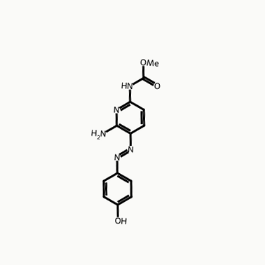 COC(=O)Nc1ccc(/N=N/c2ccc(O)cc2)c(N)n1